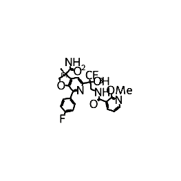 COc1ncccc1C(=O)NCC(O)(c1cc2c(c(-c3ccc(F)cc3)n1)OC[C@]2(C)C(N)=O)C(F)(F)F